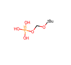 CC(C)(C)OCO[PH](O)(O)O